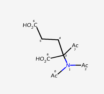 CC(=O)N(C(C)=O)C(CCC(=O)O)(C(C)=O)C(=O)O